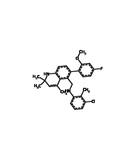 COc1cc(F)ccc1-c1ccc2c(c1CNc1cccc(Cl)c1C)C(C)=CC(C)(C)N2